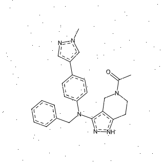 CC(=O)N1CCc2[nH]nc(N(Cc3ccccc3)c3ccc(-c4cnn(C)c4)cc3)c2C1